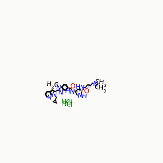 CN(C)C/C=C/C(=O)N[C@@H]1CNC[C@H](NC(=O)c2ccc3c(c2)nc(-c2cc4cccnc4n2CC2CC2)n3C)C1.Cl.Cl